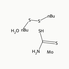 CCCCSSCCCC.NC(=S)S.O.[Mo]